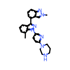 Cc1cccc2c(-c3cccc4nn(C)cc34)nn(-c3ccc(N4CCCNCC4)nc3)c12